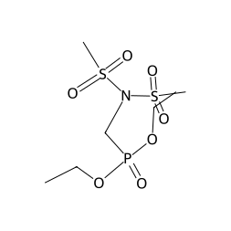 CCOP(=O)(CN(S(C)(=O)=O)S(C)(=O)=O)OCC